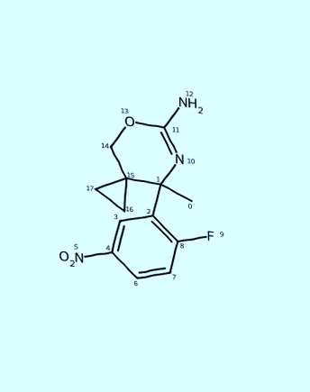 CC1(c2cc([N+](=O)[O-])ccc2F)N=C(N)OCC12CC2